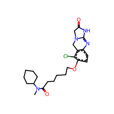 CN(C(=O)CCCCCOc1ccc2c(c1Cl)CN1CC(=O)NC1=N2)C1CCCCC1